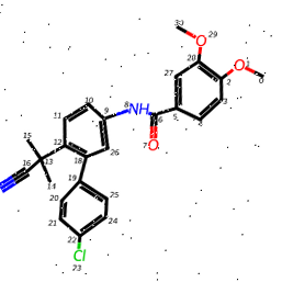 COc1ccc(C(=O)Nc2ccc(C(C)(C)C#N)c(-c3ccc(Cl)cc3)c2)cc1OC